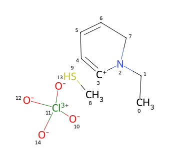 CCN1[C+]=CC=CC1.CS.[O-][Cl+3]([O-])([O-])[O-]